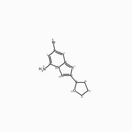 Nc1cc(Br)cc2nc(C3CCCO3)nn12